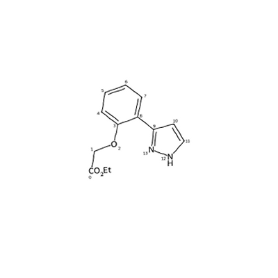 CCOC(=O)COc1ccccc1-c1cc[nH]n1